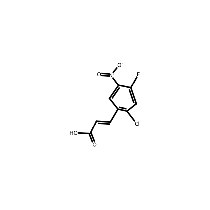 O=C(O)C=Cc1cc([N+](=O)[O-])c(F)cc1Cl